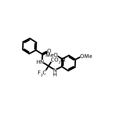 CCOC(=O)C(NC(=O)c1ccccc1)(Nc1ccc(OC)cc1OC)C(F)(F)F